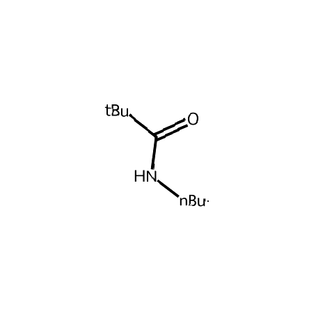 CCC[CH]NC(=O)C(C)(C)C